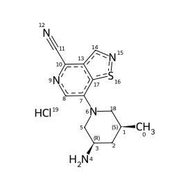 C[C@H]1C[C@@H](N)CN(c2cnc(C#N)c3cnsc23)C1.Cl